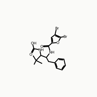 CC(C)(C)C(NC(=O)O)C(Cc1ccccc1)NC(=O)c1cc(Br)c(Br)o1